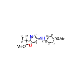 COC(=O)C1(c2ccc(NCc3ccc(OC)cc3)cn2)CCC1